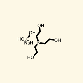 O=C(O)O.OCCN(CCO)CCO.[NaH]